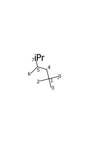 [CH2]C(C)(C)CC(C)C(C)C